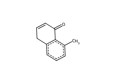 Cc1cccc2c1C(=O)C=CC2